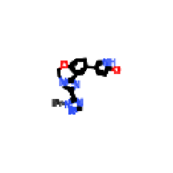 CC(C)n1ncnc1-c1cn2c(n1)-c1cc(-c3ccc(=O)[nH]c3)ccc1OCC2